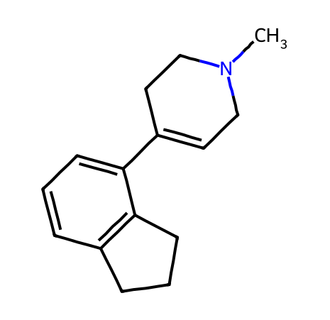 CN1CC=C(c2cccc3c2CCC3)CC1